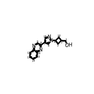 OCC1CC(n2cc(-c3cnc4ccccc4n3)cn2)C1